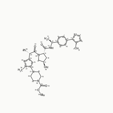 Cc1ncsc1-c1ccc([C@H](C)NC(=O)[C@@H]2C[C@@H](O)CN2C(=O)[C@H](c2cc(N3CCN(C(=O)OC(C)(C)C)CC3)n(C)n2)C(C)C)cc1